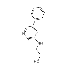 OCCNc1nncc(-c2ccccc2)n1